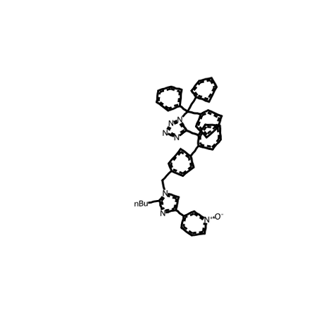 CCCCc1nc(-c2ccc[n+]([O-])c2)cn1Cc1ccc(-c2ccccc2-c2nnnn2C(c2ccccc2)(c2ccccc2)c2ccccc2)cc1